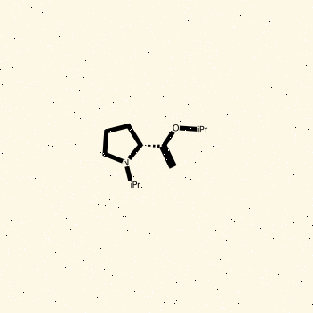 C=C(OC(C)C)[C@H]1CCCN1C(C)C